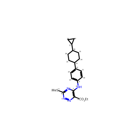 CCOC(=O)c1nnc(SC)nc1Nc1ccc(C2CCC(C3CC3)CC2)cc1